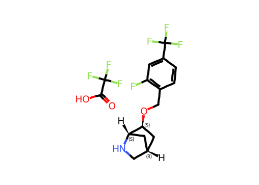 Fc1cc(C(F)(F)F)ccc1CO[C@H]1C[C@@H]2CN[C@H]1C2.O=C(O)C(F)(F)F